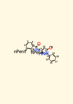 CCCCCc1cccc(C(=O)Nc2cc(=O)n(-c3ccccc3)[nH]2)c1CCCCC